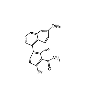 COc1ccc2c(-c3ccc(C(C)C)c(C(N)=O)c3C(C)C)cccc2c1